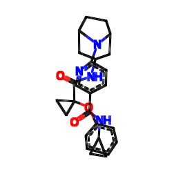 O=C(NC1CC1)c1ccc(N2C3CCC2CC(NC(=O)C2(Oc4ccccc4)CC2)C3)nc1